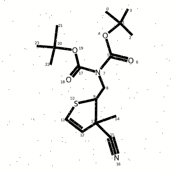 CC(C)(C)OC(=O)N(CC1SC=CC1(C)C#N)C(=O)OC(C)(C)C